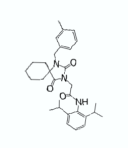 Cc1cccc(CN2C(=O)N(CC(=O)Nc3c(C(C)C)cccc3C(C)C)C(=O)C23CCCCC3)c1